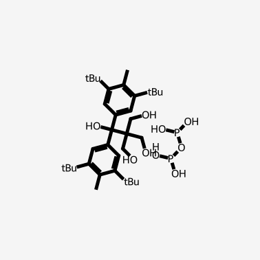 Cc1c(C(C)(C)C)cc(C(O)(c2cc(C(C)(C)C)c(C)c(C(C)(C)C)c2)C(CO)(CO)CO)cc1C(C)(C)C.OP(O)OP(O)O